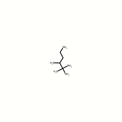 NCCC(N)C(N)(N)N